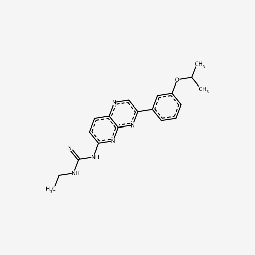 CCNC(=S)Nc1ccc2ncc(-c3cccc(OC(C)C)c3)nc2n1